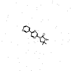 CN1C(=O)N(c2cnc(-c3cccnc3)cn2)CC1(C)C